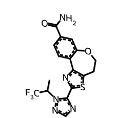 CC(n1ncnc1-c1nc2c(s1)CCOc1cc(C(N)=O)ccc1-2)C(F)(F)F